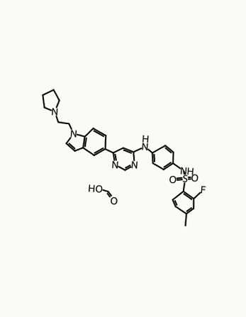 Cc1ccc(S(=O)(=O)Nc2ccc(Nc3cc(-c4ccc5c(ccn5CCN5CCCC5)c4)ncn3)cc2)c(F)c1.O=CO